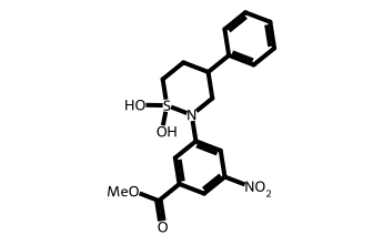 COC(=O)c1cc(N2CC(c3ccccc3)CCS2(O)O)cc([N+](=O)[O-])c1